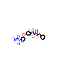 CN(C)C(=O)Nc1cc(Oc2ccc(NC(=O)NC(=O)Cc3ccccc3)c(F)c2)ccn1